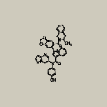 C[C@@H]1Cc2ccccc2CN1C(=O)c1cc2c(cc1-c1cc(C(=O)N(c3ccc(O)cc3)c3cnc4ccnn4c3)c3ccccn13)OCO2